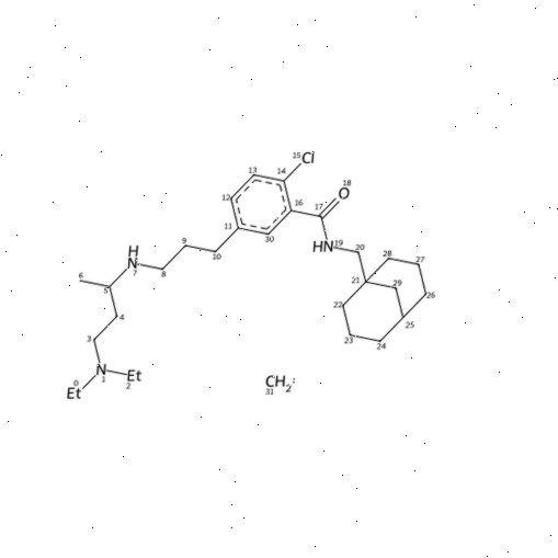 CCN(CC)CCC(C)NCCCc1ccc(Cl)c(C(=O)NCC23CCCC(CCC2)C3)c1.[CH2]